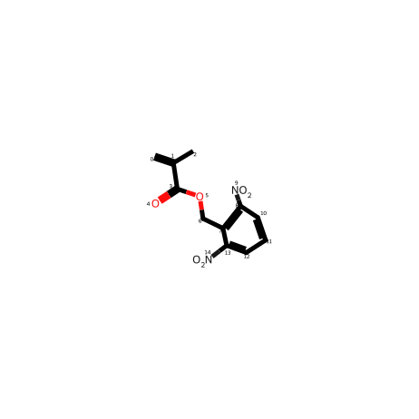 C=C(C)C(=O)OCc1c([N+](=O)[O-])cccc1[N+](=O)[O-]